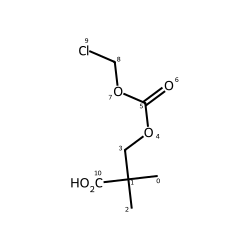 CC(C)(COC(=O)OCCl)C(=O)O